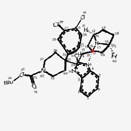 Cc1nc2ccccc2n1[C@@H]1C[C@H]2CC[C@@H](C1)N2CCCC1(c2ccc(Cl)c(Cl)c2)CCN(C(=O)OC(C)(C)C)CC1